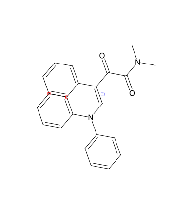 CN(C)C(=O)C(=O)/C(=C/N(c1ccccc1)c1ccccc1)c1ccccc1